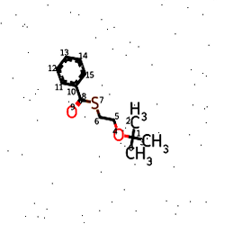 CC(C)(C)OCCSC(=O)c1ccccc1